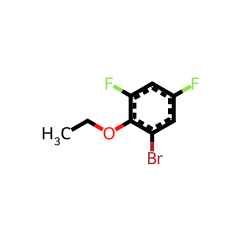 CCOc1c(F)cc(F)cc1Br